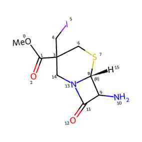 COC(=O)C1(CI)CS[C@@H]2C(N)C(=O)N2C1